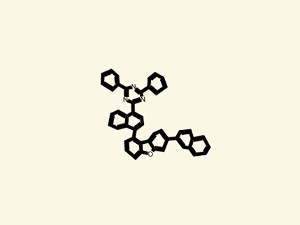 c1ccc(-c2nc(-c3ccccc3)nc(-c3ccc(-c4cccc5oc6cc(-c7ccc8ccccc8c7)ccc6c45)c4ccccc34)n2)cc1